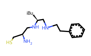 CCC(C)[C@@H](CNCCc1ccccc1)NC[C@@H](N)CS